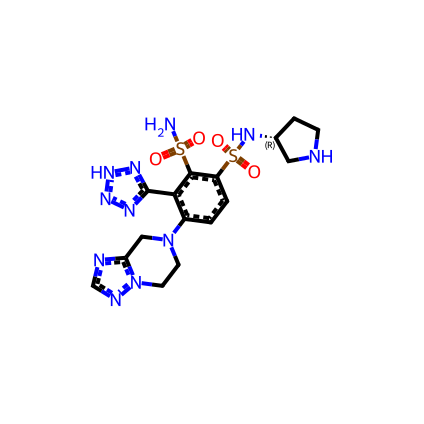 NS(=O)(=O)c1c(S(=O)(=O)N[C@@H]2CCNC2)ccc(N2CCn3ncnc3C2)c1-c1nn[nH]n1